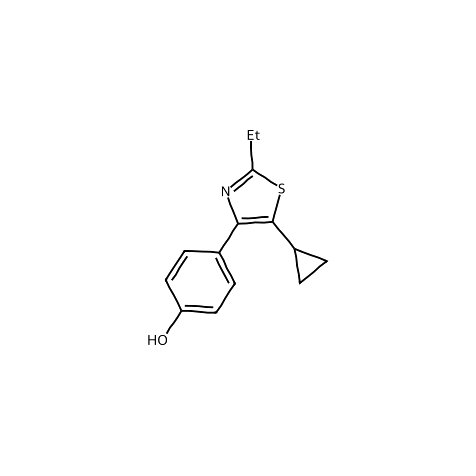 CCc1nc(-c2ccc(O)cc2)c(C2CC2)s1